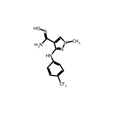 Cn1cc(/C(N)=N/O)c(Nc2ccc(C(F)(F)F)cc2)n1